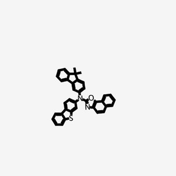 CC1(C)c2ccccc2-c2cc(N(c3ccc4c(c3)sc3ccccc34)c3nc4ccc5ccccc5c4o3)ccc21